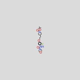 CC(C)(C)OC(=O)N1CCC(CCCOc2ccc(NC(=O)N3CCOCC3)c(F)c2)CC1